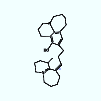 CC1CCC[N+]2=C1/C(=C\CCc1cc3c4c(c1O)CCCN4CCCC3)CCCC2